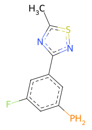 Cc1nc(-c2cc(F)cc(P)c2)ns1